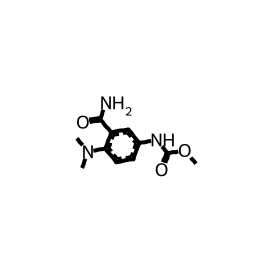 COC(=O)Nc1ccc(N(C)C)c(C(N)=O)c1